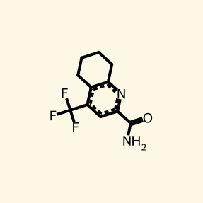 NC(=O)c1cc(C(F)(F)F)c2c(n1)CCCC2